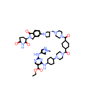 CCOC(=O)c1cnc(Nc2cnn(C)c2)nc1NC1CCC(N2CCN(C(=O)C3CCC(C(=O)N4CCN(C[C@@H]5CCN(c6ccc7c(c6)CN(C6CCC(=O)NC6=O)C7=O)C5)CC4)CC3)CC2)CC1